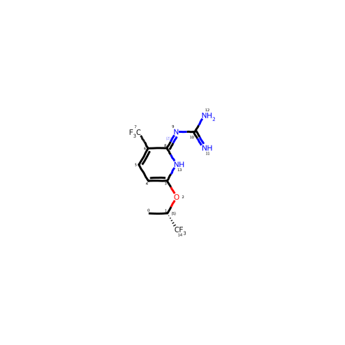 C[C@H](Oc1ccc(C(F)(F)F)/c(=N/C(=N)N)[nH]1)C(F)(F)F